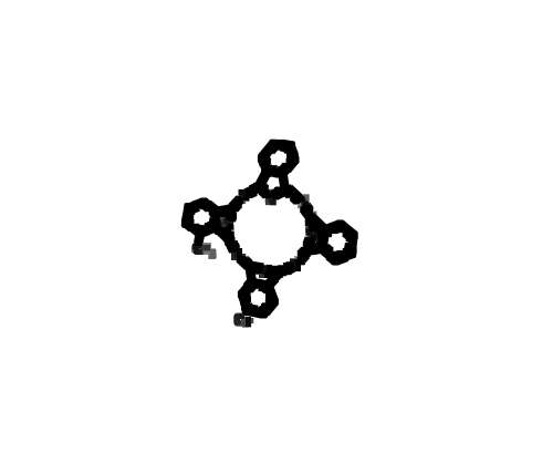 Cc1cccc2c3nc4nc(nc5[nH]c(nc6nc(nc([nH]3)c12)-c1ccccc1-6)c1ccccc51)-c1ccccc1-4.[Cu]